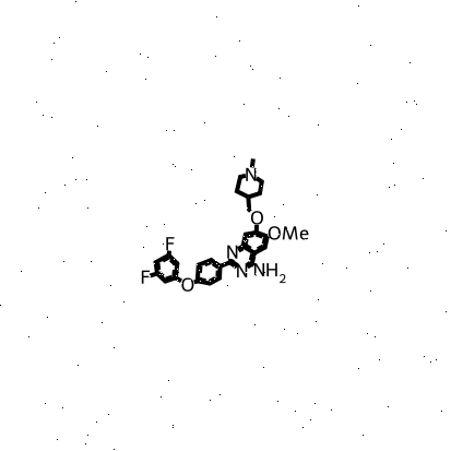 COc1cc2c(N)nc(-c3ccc(Oc4cc(F)cc(F)c4)cc3)nc2cc1OCC1CCN(C)CC1